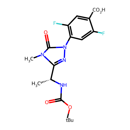 C[C@@H](NC(=O)OC(C)(C)C)c1nn(-c2cc(F)c(C(=O)O)cc2F)c(=O)n1C